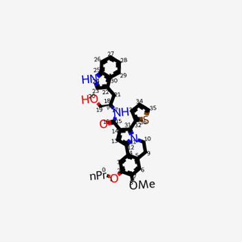 CCCOc1cc2c(cc1OC)CCn1c-2cc(C(=O)N[C@@H](CO)Cc2c[nH]c3ccccc23)c1-c1cccs1